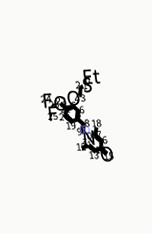 CCSCCOc1cc(/C=C/n2c(C)cc(=O)cc2C)ccc1OC(F)F